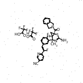 C[C@]1(c2cc(C=C(F)c3ccc(C#N)cn3)ccc2F)N=C(N)S[C@@]2(C(=O)N3Cc4ccccc4C3)C[C@H]21.O=C(O)C(F)(F)F.O=C(O)C(F)(F)F